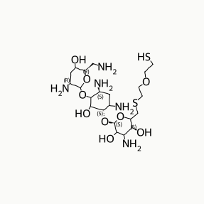 NC[C@H]1OC(OC2C(O)[C@@H](O[C@H]3OC(CSCCOCCS)[C@@H](O)C(N)C3O)C(N)C[C@@H]2N)[C@H](N)CC1O